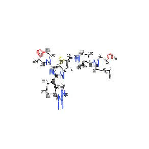 COCCN(CC1CC1)C1CCN(Cc2cc3nc(-c4cccc5[nH]ncc45)nc(N4CCOCC4)c3s2)CC1